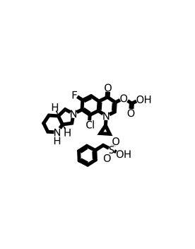 O=C(O)Oc1cn(C2CC2)c2c(Cl)c(N3C[C@@H]4CCCN[C@@H]4C3)c(F)cc2c1=O.O=S(=O)(O)Cc1ccccc1